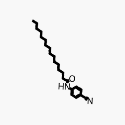 CCCCCCCCCCCCCCCC(=O)Nc1ccc(C#N)cc1